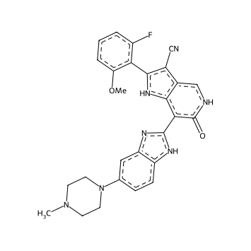 COc1cccc(F)c1-c1[nH]c2c(-c3nc4cc(N5CCN(C)CC5)ccc4[nH]3)c(=O)[nH]cc2c1C#N